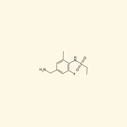 CCS(=O)(=O)Nc1c(F)cc(CN)cc1I